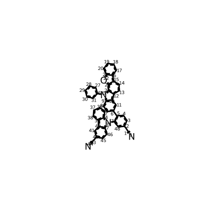 N#Cc1ccc(-c2ccc3c(c2)c2ccc4c5ccccc5oc4c2n3-c2ccccc2)c(-n2c3ccccc3c3cc(C#N)ccc32)c1